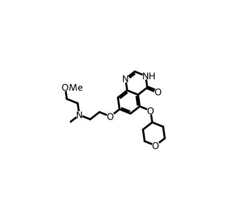 COCCN(C)CCOc1cc(OC2CCOCC2)c2c(=O)[nH]cnc2c1